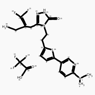 CN(C)c1ccc(-c2ccc(CCn3c(CC(CN)=C(F)F)n[nH]c3=O)s2)cn1.O=C(O)C(F)(F)F